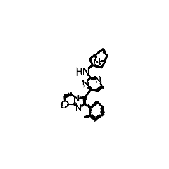 Cc1ccccc1-c1nc2occn2c1-c1ccnc(NC2CC3CCC(C2)N3C)n1